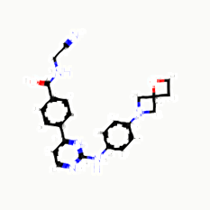 N#CCNC(=O)c1ccc(-c2ccnc(Nc3ccc(N4CC5(CCO5)C4)cc3)n2)cc1